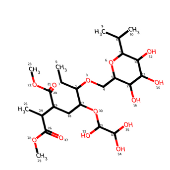 CCC(OCC1OC(C(C)C)C(O)C(O)C1O)C(CC(C(=O)OC)C(C)C(=O)OC)OC(O)C(O)O